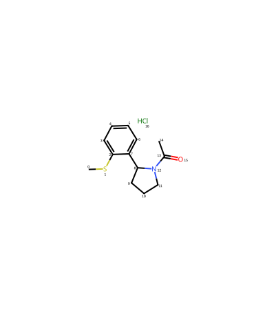 CSc1ccccc1C1CCCN1C(C)=O.Cl